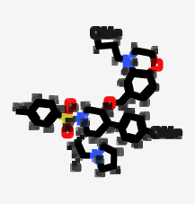 COCCCN1CCOc2ccc(CO[C@H]3CN(S(=O)(=O)c4ccc(C)cc4)[C@@H](C[C@@H](C)N4CCCC4)C[C@@H]3c3ccc(OC)cc3)cc21